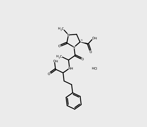 CC(NC(CCc1ccccc1)C(=O)O)C(=O)N1C(=O)N(C)C[C@H]1C(=O)O.Cl